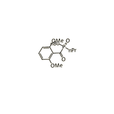 CCCCP(=O)(CCC)C(=O)c1c(OC)cccc1OC